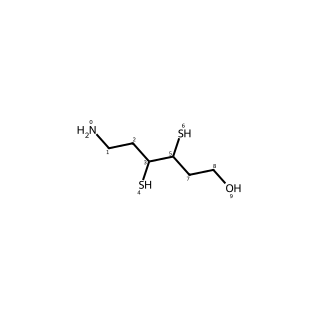 NCCC(S)C(S)CCO